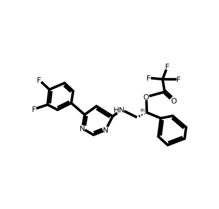 O=C(O[C@@H](CNc1cc(-c2ccc(F)c(F)c2)ncn1)c1ccccc1)C(F)(F)F